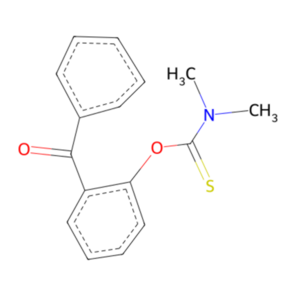 CN(C)C(=S)Oc1ccccc1C(=O)c1ccccc1